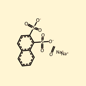 C=O.O=S(=O)([O-])c1ccc2ccccc2c1S(=O)(=O)[O-].[Na+].[Na+]